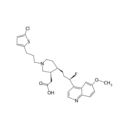 COc1ccc2nccc([C@H](F)CC[C@@H]3CCN(CCCc4ccc(Cl)s4)C[C@@H]3CC(=O)O)c2c1